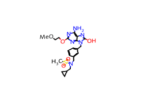 COCCOc1nc(N)c2nc(O)n(Cc3cccc(CN(CC4CC4)S(C)(=O)=O)c3)c2n1